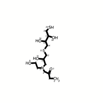 CCC(=O)CN(CCO)CC(O)CSCC(O)C(O)CS